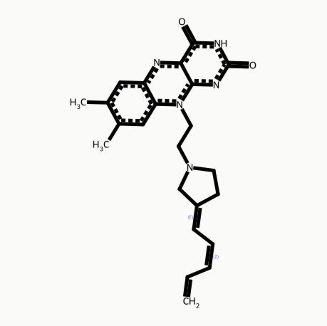 C=C/C=C\C=C1/CCN(CCn2c3nc(=O)[nH]c(=O)c-3nc3cc(C)c(C)cc32)C1